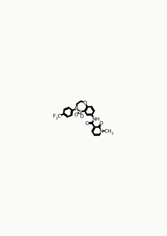 Cn1cccc(C(=O)Nc2ccc3c(c2)S(=O)(=O)N(c2ccc(C(F)(F)F)cc2)CCO3)c1=O